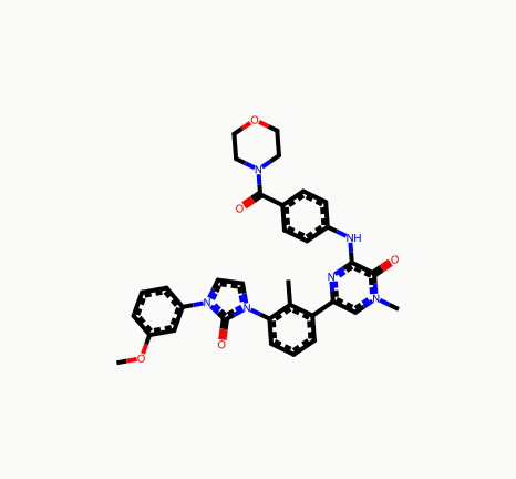 COc1cccc(-n2ccn(-c3cccc(-c4cn(C)c(=O)c(Nc5ccc(C(=O)N6CCOCC6)cc5)n4)c3C)c2=O)c1